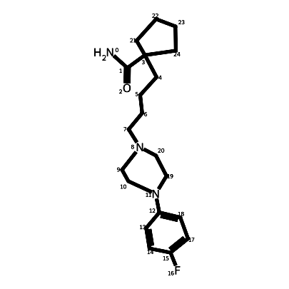 NC(=O)C1(CCCCN2CCN(c3ccc(F)cc3)CC2)CCCC1